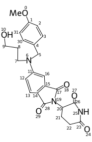 COc1ccc(CN(CCCO)c2ccc3c(c2)C(=O)N(C2CCC(=O)NC2=O)C3=O)cc1